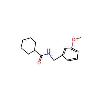 COc1cccc(CNC(=O)C2CCCCC2)c1